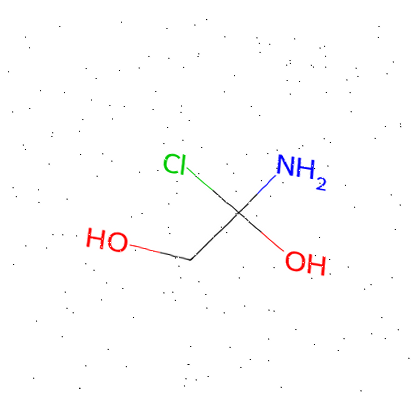 NC(O)(Cl)CO